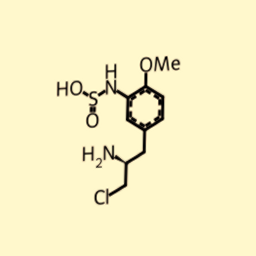 COc1ccc(C[C@H](N)CCl)cc1NS(=O)O